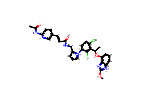 COc1nc2c(OC(C)c3c(Cl)ccc(-n4cccc4CNC(=O)C=Cc4ccc(NC(C)=O)nc4)c3Cl)cccc2[nH]1